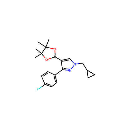 CC1(C)OB(c2cn(CC3CC3)nc2-c2ccc(F)cc2)OC1(C)C